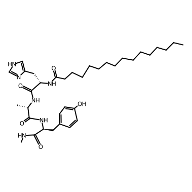 CCCCCCCCCCCCCCCC(=O)N[C@@H](Cc1c[nH]cn1)C(=O)N[C@@H](C)C(=O)N[C@@H](Cc1ccc(O)cc1)C(=O)NC